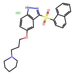 Cl.O=S(=O)(c1cccc2ccccc12)c1n[nH]c2ccc(OCCCN3CCCCC3)cc12